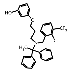 CC(c1ccccc1)(c1ccccc1)N(CCCOc1cccc(O)c1)Cc1cccc(C(F)(F)F)c1Cl